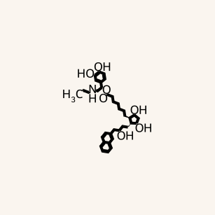 CCCNCC(OC(=O)CCCCCC[C@H]1C(O)CC(O)[C@@H]1CCC(O)Cc1ccc2ccccc2c1)c1ccc(O)c(O)c1